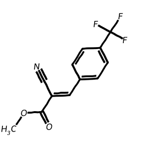 COC(=O)/C(C#N)=C/c1ccc(C(F)(F)F)cc1